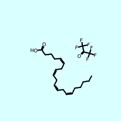 CCCCC/C=C\C/C=C\C/C=C\C/C=C\CCCC(=O)O.O=C(C(F)(F)F)C(F)(F)F